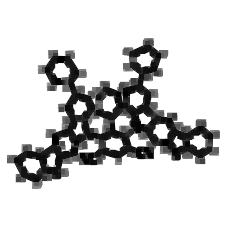 N#Cc1cc(C#N)c(-n2c3ccc(-c4ccccc4)cc3c3cc4c(cc32)sc2ccccc24)c(-c2ccccc2)c1-n1c2ccc(-c3ccccc3)cc2c2cc3c(cc21)sc1ccccc13